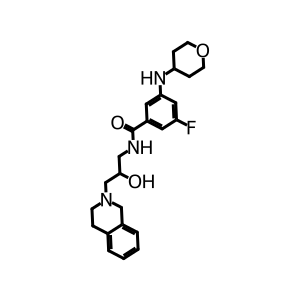 O=C(NCC(O)CN1CCc2ccccc2C1)c1cc(F)cc(NC2CCOCC2)c1